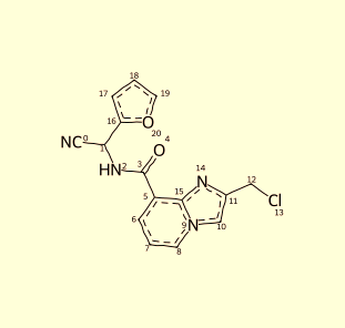 N#CC(NC(=O)c1cccn2cc(CCl)nc12)c1ccco1